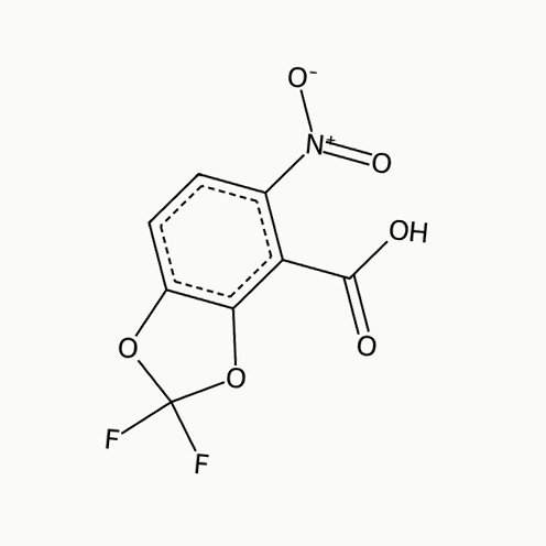 O=C(O)c1c([N+](=O)[O-])ccc2c1OC(F)(F)O2